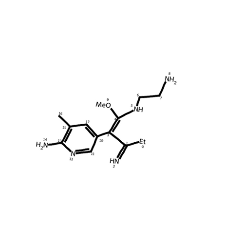 CCC(=N)/C(=C(\NCCN)OC)c1cnc(N)c(C)c1